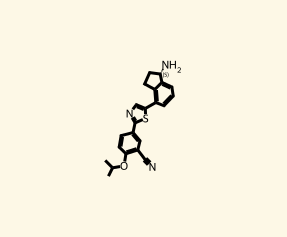 CC(C)Oc1ccc(-c2ncc(-c3cccc4c3CC[C@@H]4N)s2)cc1C#N